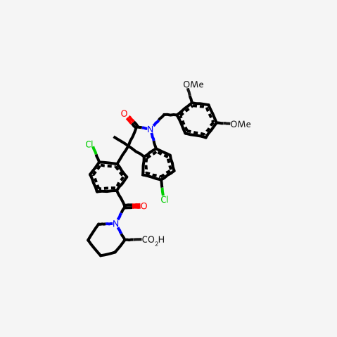 COc1ccc(CN2C(=O)C(C)(c3cc(C(=O)N4CCCCC4C(=O)O)ccc3Cl)c3cc(Cl)ccc32)c(OC)c1